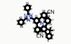 CC1(C)c2ccccc2-c2ccc3c(c21)c1ccccc1n3-c1c(-c2ccc(C#N)cc2)cc(-c2nc(-c3ccccc3)nc(-c3ccccc3)n2)cc1-c1ccc(C#N)cc1